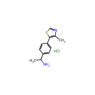 Cc1ncsc1-c1ccc(C(C)N)cc1.Cl